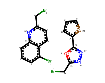 BrCc1ccc2c(Br)cccc2n1.BrCc1nnc(-c2cccs2)o1